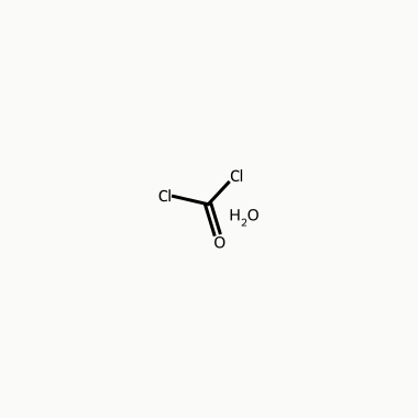 O.O=C(Cl)Cl